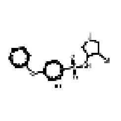 Cl.O=S(=O)(NC1CNCC1S)c1ccc(Oc2ccccc2)cc1